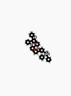 c1ccc(-c2nnc(-c3ccc4c(c3)c3ccccc3n4-c3ccccc3-c3ccccc3-n3c4ccccc4c4c5c(ccc43)oc3ccccc35)n2-c2ccccc2)cc1